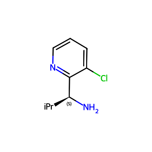 CC(C)[C@H](N)c1ncccc1Cl